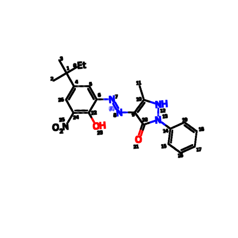 CCC(C)(C)c1cc(/N=N/c2c(C)[nH]n(-c3ccccc3)c2=O)c(O)c([N+](=O)[O-])c1